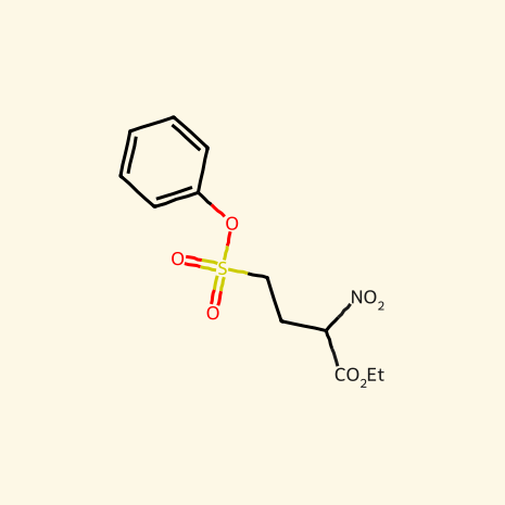 CCOC(=O)C(CCS(=O)(=O)Oc1ccccc1)[N+](=O)[O-]